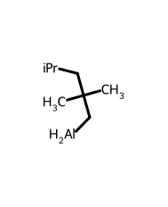 CC(C)CC(C)(C)[CH2][AlH2]